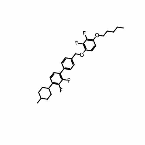 CCCCCOc1ccc(OCc2ccc(-c3ccc(C4CCC(C)CC4)c(F)c3F)cc2)c(F)c1F